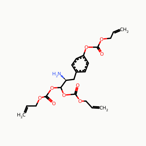 C=CCOC(=O)Oc1ccc(C[C@H](N)C(OC(=O)OCC=C)OC(=O)OCC=C)cc1